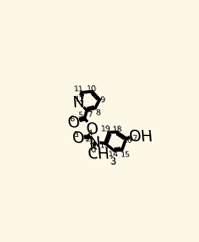 CN(C(=O)OC(=O)c1ccccn1)c1ccc(O)cc1